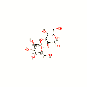 O=C(CO)C(O[C@H]1O[C@H](CO)[C@@H](O)[C@H](O)[C@H]1O)C(O)C(O)CO